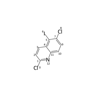 Clc1ccc2c(I)c(Cl)ccc2n1